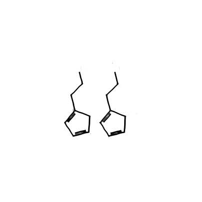 CCCC1=CC=CC1.CCCC1=CC=CC1.[Ru]